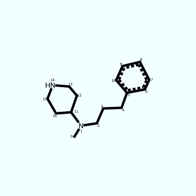 CN(CCCc1ccccc1)C1CCNCC1